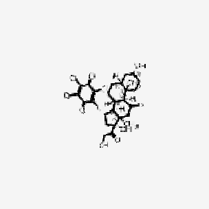 C[C@]12CC[C@@H](O)C[C@H]1CC[C@@H]1[C@@H]2C(=O)C[C@@]2(C)[C@H]1CC[C@]2(O)C(=O)CO.O=C1C(Cl)=C(Cl)C(=O)C(Cl)=C1Cl